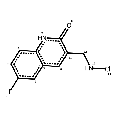 O=c1[nH]c2ccc(I)cc2cc1CNCl